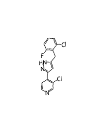 Fc1cccc(Cl)c1Cc1cc(-c2ccncc2Cl)n[nH]1